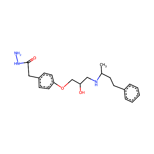 CC(CCc1ccccc1)NCC(O)COc1ccc(CC(=O)NN)cc1